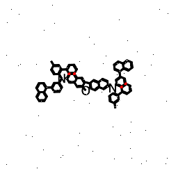 Cc1ccc(N(c2cccc(-c3cccc4ccccc34)c2)c2ccc3cc4c(cc3c2)oc2cc3cc(N(c5cccc(-c6cccc7ccccc67)c5)c5ccc(C)cc5-c5ccccc5)ccc3cc24)c(-c2ccccc2)c1